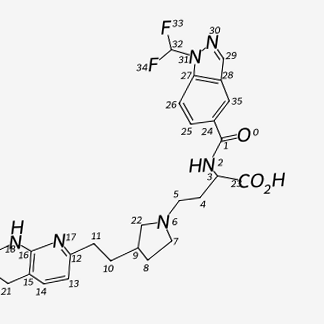 O=C(NC(CCN1CCC(CCc2ccc3c(n2)NCCC3)C1)C(=O)O)c1ccc2c(cnn2C(F)F)c1